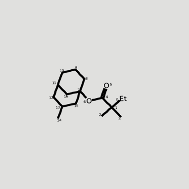 CCC(C)(C)C(=O)OC12CCCC(CC(C)C1)C2